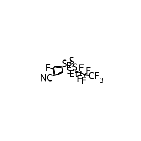 CCSP(=S)(SCC(F)(F)C(F)(F)C(F)(F)F)Sc1ccc(C#N)c(F)c1